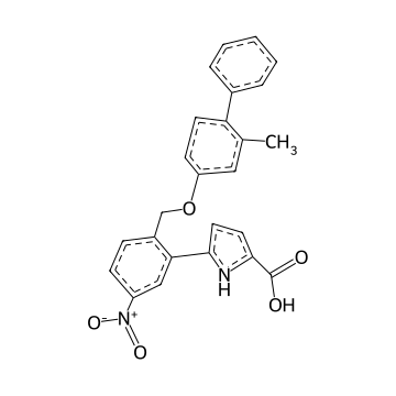 Cc1cc(OCc2ccc([N+](=O)[O-])cc2-c2ccc(C(=O)O)[nH]2)ccc1-c1ccccc1